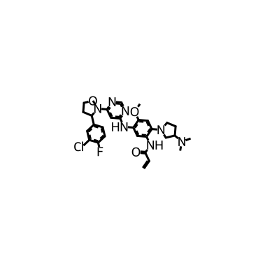 C=CC(=O)Nc1cc(Nc2cc(N3OCCC3c3ccc(F)c(Cl)c3)ncn2)c(OC)cc1N1CCC(N(C)C)C1